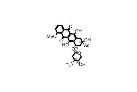 COc1cccc2c1C(=O)c1c(O)c3c(c(O)c1C2=O)C[C@@](O)(C(C)=O)C[C@@H]3O[C@H]1C[C@H](N)[C@@H](O)CO1